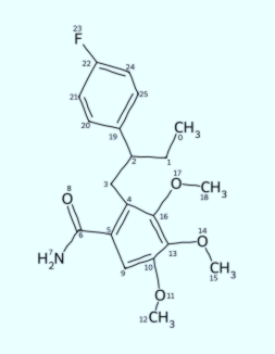 CCC(Cc1c(C(N)=O)cc(OC)c(OC)c1OC)c1ccc(F)cc1